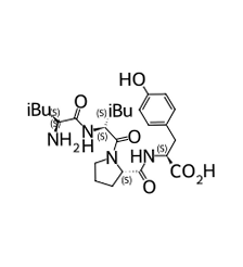 CC[C@H](C)[C@H](N)C(=O)N[C@H](C(=O)N1CCC[C@H]1C(=O)N[C@@H](Cc1ccc(O)cc1)C(=O)O)[C@@H](C)CC